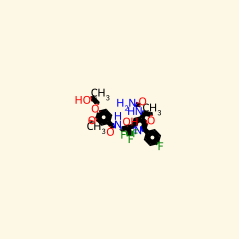 COc1cc(C(=O)NC[C@@](O)(c2cc3c(c(-c4ccc(F)cc4)n2)OC[C@@]3(C)NC(N)=O)C(F)(F)F)ccc1OC[C@@H](C)O